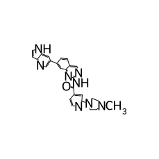 CN1CCN(c2cc(C(=O)Nc3ncc4ccc(-c5cnc6cc[nH]c6c5)cc4n3)ccn2)CC1